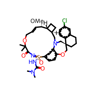 CO[C@H]1/C=C/COC(C)(C)C(=O)N=[S@](=O)(NC(=O)N(C)C)c2ccc3c(c2)N(C[C@@H]2CC[C@H]21)C[C@@]1(CCCc2cc(Cl)ccc21)CO3